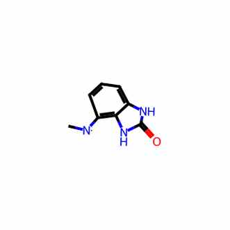 C[N]c1cccc2[nH]c(=O)[nH]c12